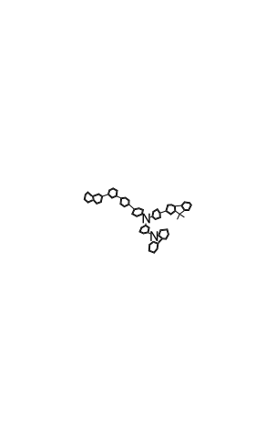 CC1(C)c2ccccc2-c2ccc(-c3ccc(N(c4ccc(-c5ccc(-c6cccc(-c7ccc8ccccc8c7)c6)cc5)cc4)c4cccc(-n5c6ccccc6c6ccccc65)c4)cc3)cc21